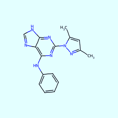 Cc1cc(C)n(-c2nc(Nc3ccccc3)c3nc[nH]c3n2)n1